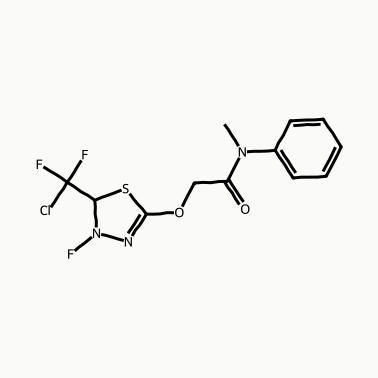 CN(C(=O)COC1=NN(F)C(C(F)(F)Cl)S1)c1ccccc1